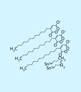 CCCCCCCCCCCCC(=CC(=O)[O-])C(=O)[O-].CCCCCCCCCCCCC(=CC(=O)[O-])C(=O)[O-].CCCCCCCCCCCCC(=CC(=O)[O-])C(=O)[O-].CCC[CH2][Sn+3].CCC[CH2][Sn+3]